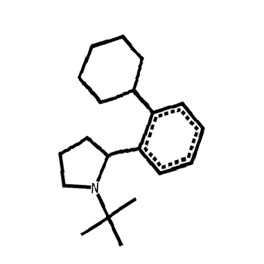 CC(C)(C)N1CCCC1c1ccccc1C1CCCCC1